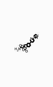 NC(=O)C1OC(=O)N2c3ccc(-c4ccc(-n5ccnn5)nc4)cc3C[C@@H]12